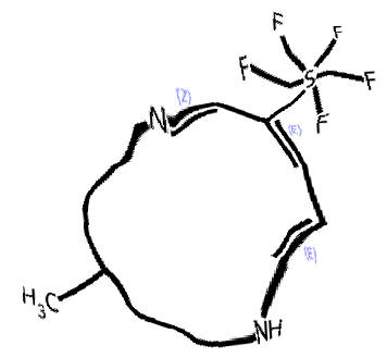 CC1CC\N=C/C(S(F)(F)(F)(F)F)=C\C=C\NCC1